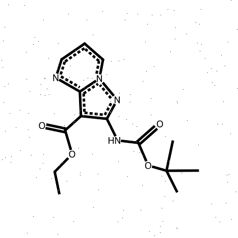 CCOC(=O)c1c(NC(=O)OC(C)(C)C)nn2cccnc12